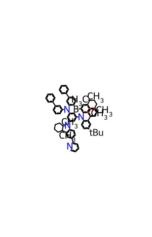 CC(C)(C)c1ccc(N2c3cc4c(cc3B3c5ccc(-c6ccccc6)cc5N(c5cccc(-c6ccccc6)c5)c5cc(N6c7ccc(-c8ccccn8)cc7C7(C)CCCCC67C)cc2c53)C(C)(C)CCC4(C)C)c(-c2ccccc2)c1